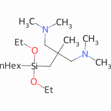 CCCCCC[Si](CC(C)(CN(C)C)CN(C)C)(OCC)OCC